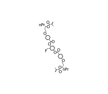 C=C(C)C(=O)OC(CCC)CCOc1ccc(C(=O)Oc2ccc(OC(=O)c3ccc(OCCC(CCC)OC(=O)C(=C)C)cc3)c(CF)c2)cc1